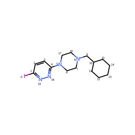 Ic1ccc(N2CCN(CC3CCCCC3)CC2)nn1